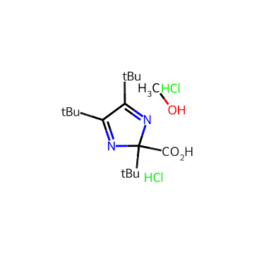 CC(C)(C)C1=NC(C(=O)O)(C(C)(C)C)N=C1C(C)(C)C.CO.Cl.Cl